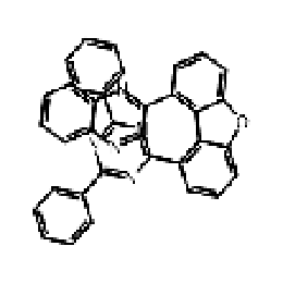 c1ccc(-c2nc(-c3ccccc3)nc(-c3cccc4oc5cccc(-c6cnc7ccccc7n6)c5c34)n2)cc1